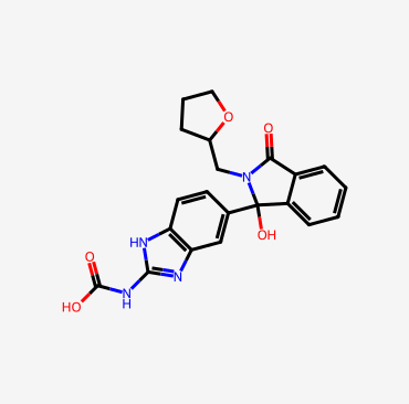 O=C(O)Nc1nc2cc(C3(O)c4ccccc4C(=O)N3CC3CCCO3)ccc2[nH]1